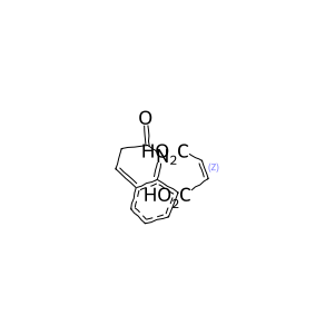 O=C(O)/C=C\C(=O)O.O=C1CC=c2ccccc2=N1